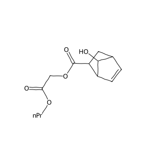 CCCOC(=O)COC(=O)C1CC2C=CC1C2O